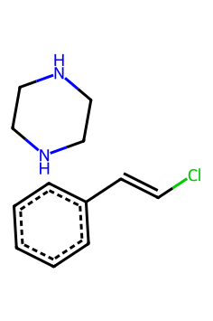 C1CNCCN1.ClC=Cc1ccccc1